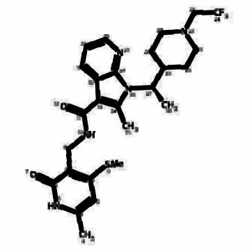 CSc1cc(C)[nH]c(=O)c1CNC(=O)c1c(C)n([C@H](C)C2CCN(CC(F)(F)F)CC2)c2ncccc12